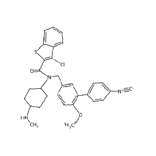 [C-]#[N+]c1ccc(-c2cc(CN(C(=O)c3sc4ccccc4c3Cl)C3CCC(NC)CC3)ccc2OC)cc1